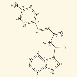 CC(c1c[nH]c2cccnc12)N(C)C(=O)/C=C/c1ccc(N)nc1